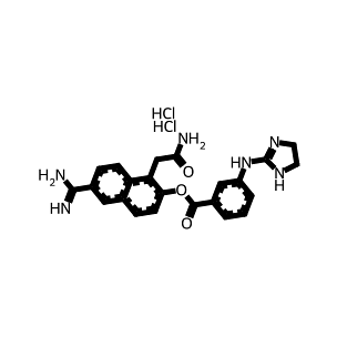 Cl.Cl.N=C(N)c1ccc2c(CC(N)=O)c(OC(=O)c3cccc(NC4=NCCN4)c3)ccc2c1